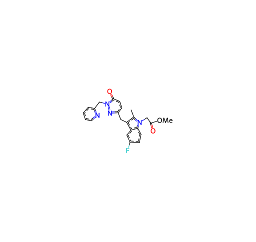 COC(=O)Cn1c(C)c(Cc2ccc(=O)n(Cc3ccccn3)n2)c2cc(F)ccc21